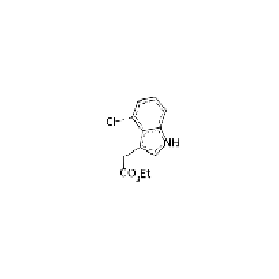 CCOC(=O)Cc1c[nH]c2cccc(Cl)c12